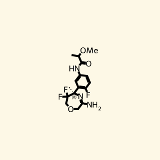 COC(C)C(=O)Nc1ccc(F)c([C@@]2(C)N=C(N)COCC2(F)F)c1